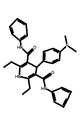 CCC1=C(C(=O)Nc2ccccc2)C(c2ccc(N(C)C)cc2)C(C(=O)Nc2ccccc2)=C(CC)N1